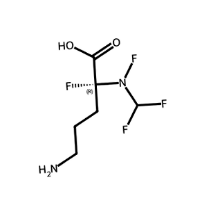 NCCC[C@@](F)(C(=O)O)N(F)C(F)F